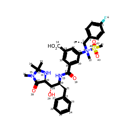 C[C@H](c1ccc(F)cc1)[N+](C)(c1cc(C(=O)O)cc(C(=O)N[C@@H](Cc2ccccc2)[C@H](O)[C@@H]2NC(C)(C)N(C)C2=O)c1)S(C)(=O)=O